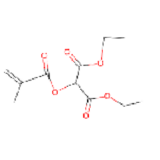 C=C(C)C(=O)OC(C(=O)OCC)C(=O)OCC